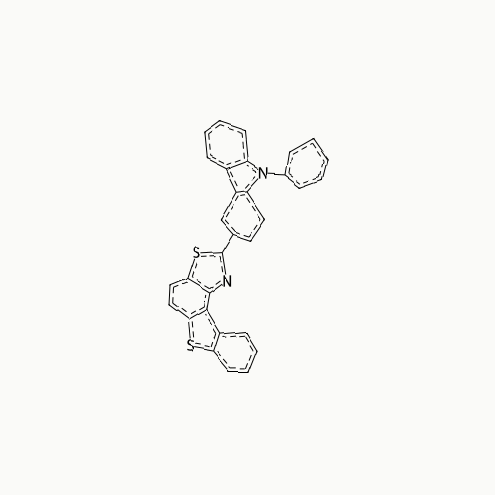 c1ccc(-n2c3ccccc3c3cc(-c4nc5c(ccc6sc7ccccc7c65)s4)ccc32)cc1